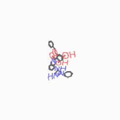 O=C(c1c(O)cc(O)cc1OCc1ccccc1)N1Cc2cccc(NC3CNCN(C4CCCCCC4)C3)c2C1